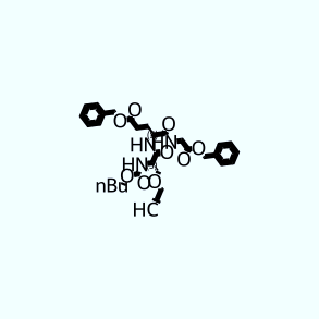 C#CCOC[C@H](NC(=O)OCCCC)C(=O)N[C@@H](CCC(=O)OCc1ccccc1)C(=O)NCC(=O)OCc1ccccc1